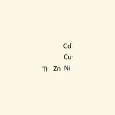 [Cd].[Cu].[Ni].[Tl].[Zn]